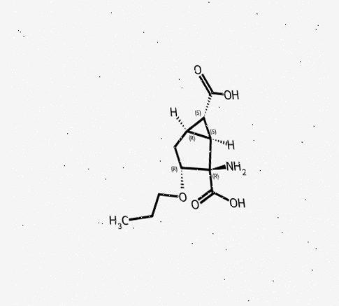 CCCO[C@@H]1C[C@H]2[C@H](C(=O)O)[C@H]2[C@]1(N)C(=O)O